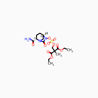 CCOC(=O)C(C)(COS(=O)(=O)ON1C(=O)N2C[C@H]1CC[C@H]2C(N)=O)C(=O)OCC